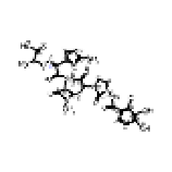 CC(O/N=C(\C(=O)N[C@@H]1C(=O)N(C)C1SC(C(=O)O)N1CCN(NC(=O)c2ccc(O)c(O)c2Cl)C1=O)c1csc(N)n1)C(=O)O